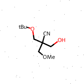 COCC(C#N)(CO)COC(C)(C)C